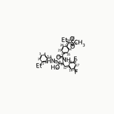 CCc1cccc(CNC[C@H](O)[C@H](Cc2cc(F)cc(F)c2)NC(=O)c2ccc(C(CC)S(C)(=O)=O)cc2)c1